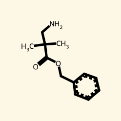 CC(C)(CN)C(=O)OCc1ccccc1